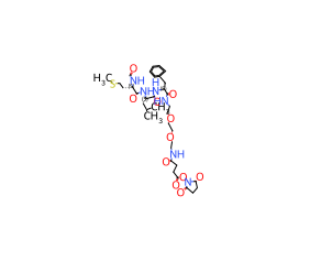 CSCC[C@H](NC=O)C(=O)N[C@@H](CC(C)C)C(=O)N[C@@H](Cc1ccccc1)C(=O)NCCOCCOCCNC(=O)CCC(=O)ON1C(=O)CCC1=O